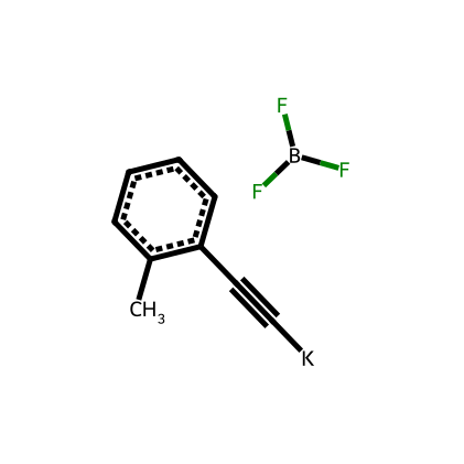 Cc1ccccc1C#[C][K].FB(F)F